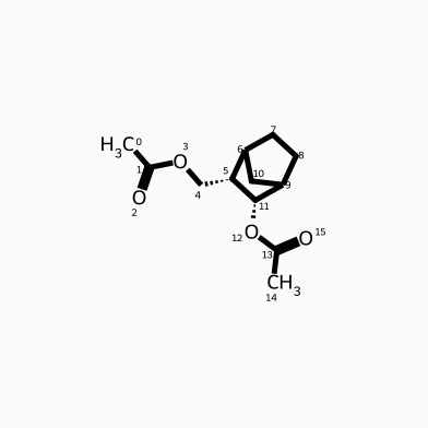 CC(=O)OC[C@@H]1C2CCC(C2)[C@@H]1OC(C)=O